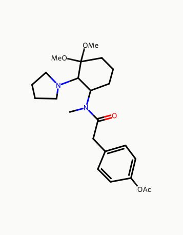 COC1(OC)CCCC(N(C)C(=O)Cc2ccc(OC(C)=O)cc2)C1N1CCCC1